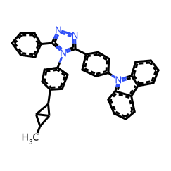 CC1C2C(c3ccc(-n4c(-c5ccccc5)nnc4-c4ccc(-n5c6ccccc6c6ccccc65)cc4)cc3)C12